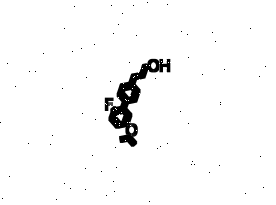 CC(C)Oc1ccc(F)c(-c2ccc(CCCO)cc2)c1